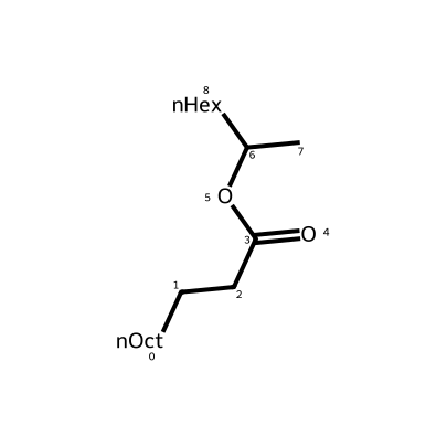 CCCCCCCCCCC(=O)OC(C)CCCCCC